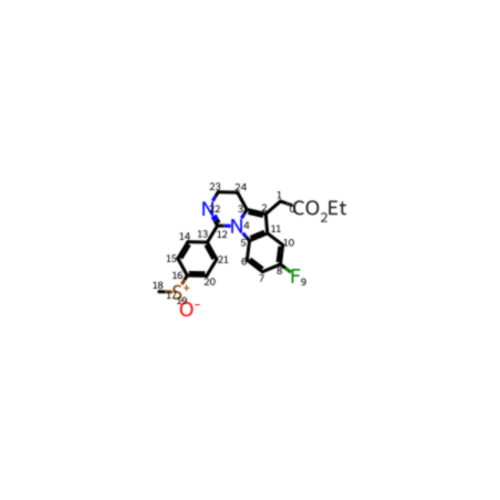 CCOC(=O)Cc1c2n(c3ccc(F)cc13)C(c1ccc([S+](C)[O-])cc1)=NCC2